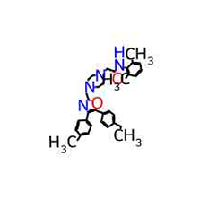 CCc1ccc(-c2nc(CN3CCN(CC(=O)Nc4c(C)cccc4C)CC3)oc2-c2ccc(CC)cc2)cc1